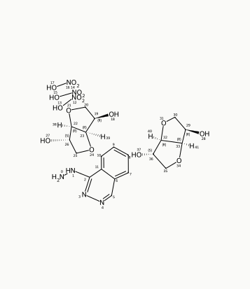 NNc1nncc2ccccc12.O=[N+]([O-])O.O=[N+]([O-])O.O=[N+]([O-])O.O[C@@H]1CO[C@H]2[C@@H]1OC[C@@H]2O.O[C@@H]1CO[C@H]2[C@@H]1OC[C@@H]2O